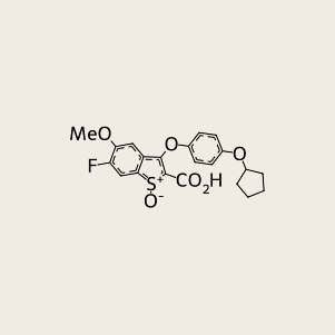 COc1cc2c(Oc3ccc(OC4CCCC4)cc3)c(C(=O)O)[s+]([O-])c2cc1F